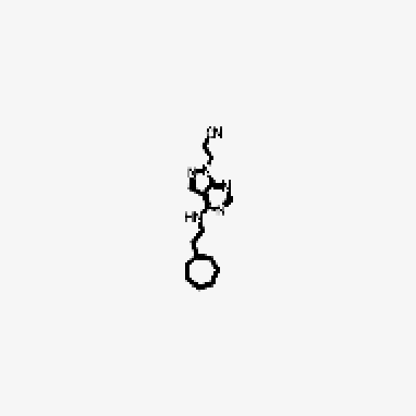 N#CCCn1ncc2c(NCCC3=CCCCCC3)ncnc21